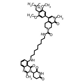 COc1cc(-c2cn(C)c(=O)c3c2CCN(C(=O)NCCCCCCCCNc2cccc4nc(C)n(C5CCC(=O)NC5=O)c(=O)c24)C3)cc(OC)c1CN(C)C